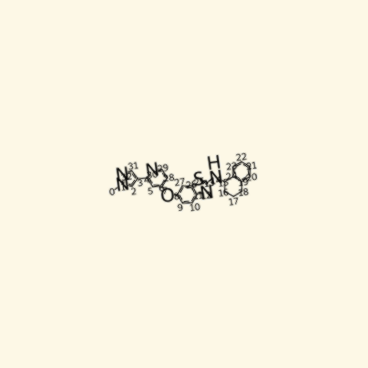 Cn1cc(-c2cc(Oc3ccc4nc(NC5CCCc6ccccc65)sc4c3)ccn2)cn1